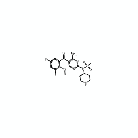 COc1c(F)cc(F)cc1C(=O)c1cnc(N(C2CCNCC2)S(C)(=O)=O)nc1N